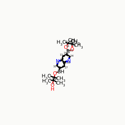 CC(C)(O)C(C)(C)OBc1cnc2cc(B3OC(C)(C)C(C)(C)O3)cnc2c1